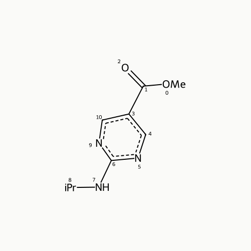 COC(=O)c1cnc(NC(C)C)nc1